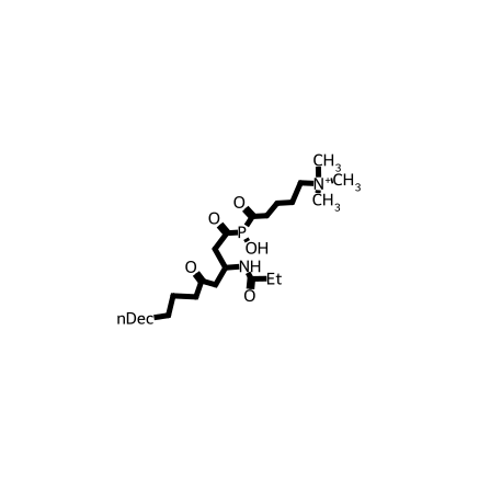 CCCCCCCCCCCCCC(=O)CC(CC(=O)P(O)C(=O)CCCC[N+](C)(C)C)NC(=O)CC